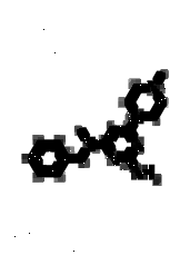 CN1CCN(c2cc(N(C)Cc3ccccc3)nc(N)n2)CC1